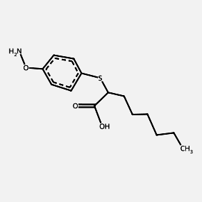 CCCCCCC(Sc1ccc(ON)cc1)C(=O)O